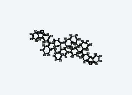 c1cc(-c2c3ccccc3c(-c3ccc4oc5ccccc5c4c3)c3ccccc23)c2cc(-c3ccc4cccc(-c5c6ccccc6c(-c6ccc7oc8ccccc8c7c6)c6ccccc56)c4c3)ccc2c1